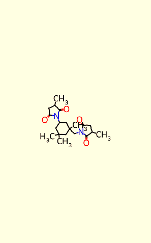 CC1CC(=O)N(CC2(C)CC(N3C(=O)CC(C)C3=O)CC(C)(C)C2)C1=O